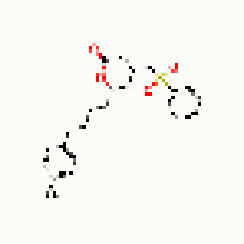 N#Cc1ccc(CCCC[C@H]2C[C@@H](CS(=O)(=O)c3ccccc3)CC(=O)O2)cc1